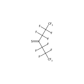 FC(F)(F)C(F)(F)C(F)(F)C(=S)C(F)(F)C(F)(F)C(F)(F)F